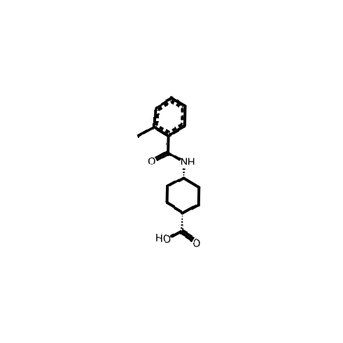 Cc1ccccc1C(=O)N[C@H]1CC[C@@H](C(=O)O)CC1